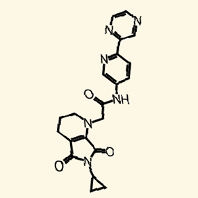 O=C(CN1CCCC2=C1C(=O)N(C1CC1)C2=O)Nc1ccc(-c2cnccn2)nc1